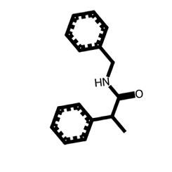 CC(C(=O)NCc1ccccc1)c1ccccc1